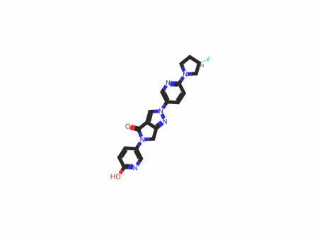 O=C1c2cn(-c3ccc(N4CC[C@H](F)C4)nc3)nc2CN1c1ccc(O)nc1